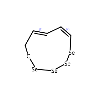 C1=C\[Se][Se][Se][Se]CC/C=C/1